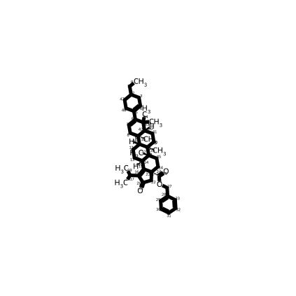 CCC1CC=C(C2=CC[C@]3(C)[C@H]4CC[C@@H]5C6=C(C(C)C)C(=O)C[C@]6(C(=O)OCc6ccccc6)CC[C@@]5(C)[C@]4(C)CC[C@H]3C2(C)C)CC1